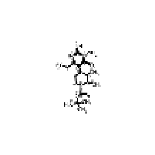 CCc1[nH]c(=N)n(N)c(=O)c1N1CCN(C(=O)OC(C)(C)C)C(C)C1C